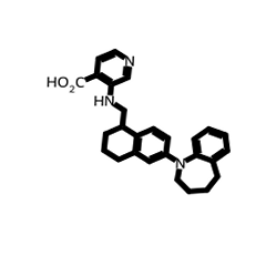 O=C(O)c1ccncc1NCC1CCCc2cc(N3CCCCc4ccccc43)ccc21